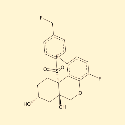 O=S(=O)(c1ccc(CF)cc1)[C@@]12CC[C@@H](O)C[C@@]1(O)COc1c(F)ccc(F)c12